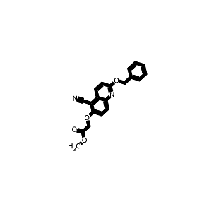 COC(=O)COc1ccc2nc(OCc3ccccc3)ccc2c1C#N